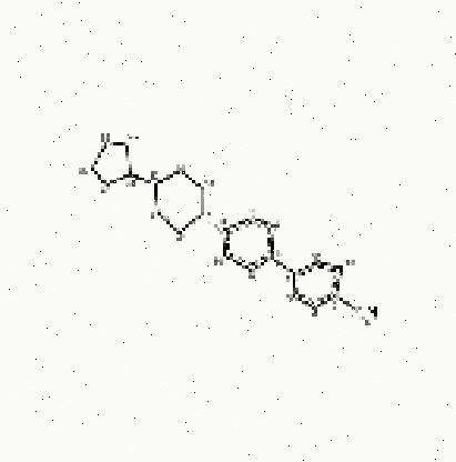 N#Cc1ccc(-c2ccc([C@H]3CC[C@H](C4CCCC4)CC3)cc2)cc1